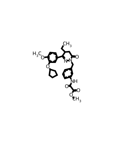 CCC1CC(=O)N(Cc2cccc(NC(=O)C(=O)OC)c2)N=C1c1ccc(OC)c(OC2CCCC2)c1